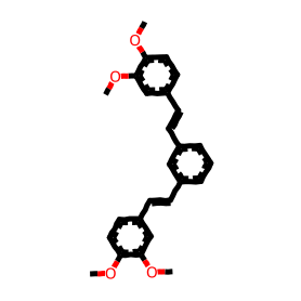 COc1ccc(/C=C/c2cccc(/C=C/c3ccc(OC)c(OC)c3)c2)cc1OC